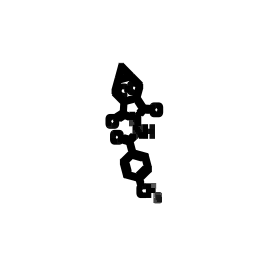 O=C(NN1C(=O)C2C3CCC(C4CC43)C2C1=O)c1ccc(C(F)(F)F)cc1